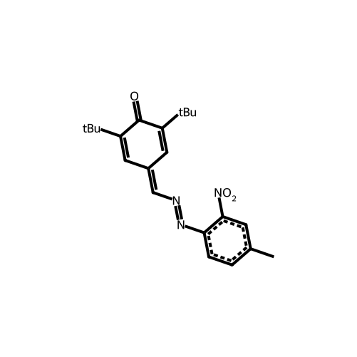 Cc1ccc(N=NC=C2C=C(C(C)(C)C)C(=O)C(C(C)(C)C)=C2)c([N+](=O)[O-])c1